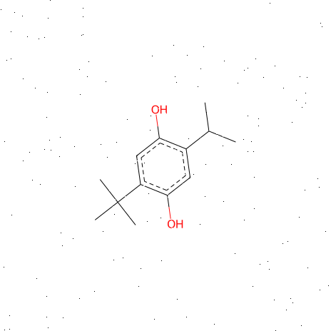 CC(C)c1cc(O)c(C(C)(C)C)cc1O